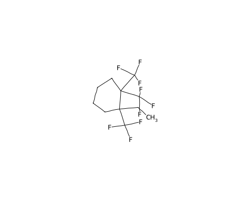 CCC1(C(F)(F)F)CCCCC1(C(F)(F)F)C(F)(F)F